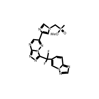 COP(C)(=O)Cn1cnc(-c2cnc3nnc(C(F)(F)c4ccc5ncnn5c4)n3n2)c1